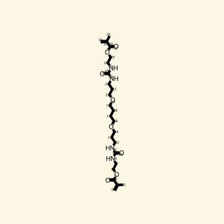 C=C(C)C(=O)OCCNC(=O)NCCCOCCCCOCCCNC(=O)NCCOC(=O)C(=C)C